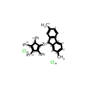 Cc1ccc2c(c1)[CH]([Zr+2][C]1=C(C(C)C)C(C(C)C)=C(C(C)C)C1C(C)C)c1cc(C)ccc1-2.[Cl-].[Cl-]